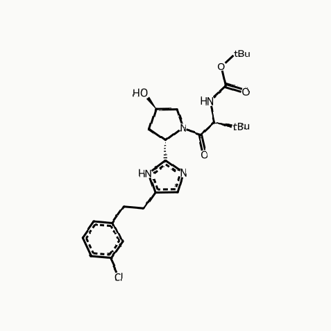 CC(C)(C)OC(=O)N[C@H](C(=O)N1C[C@H](O)C[C@H]1c1ncc(CCc2cccc(Cl)c2)[nH]1)C(C)(C)C